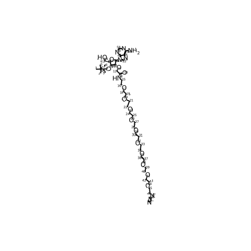 CC(C)(C)[Si](C)(C)O[C@H]1[C@@H](OCC(=O)NCCOCCOCCOCCOCCOCCOCCOCCOCCOCCOCCN=[N+]=[N-])[C@H](n2cnc3c(N)ncnc32)O[C@@H]1CO